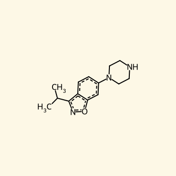 CC(C)c1noc2cc(N3CCNCC3)ccc12